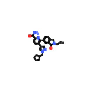 CCC(C)CN1Cc2ccc(-c3nc(C(N)=O)ccc3-c3cnn(CC4CCCC4)c3)cc2C1=O